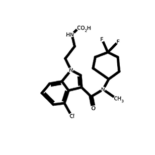 CN(C(=O)c1cn(CCNC(=O)O)c2cccc(Cl)c12)C1CCC(F)(F)CC1